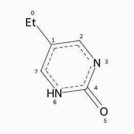 CCc1cnc(=O)[nH]c1